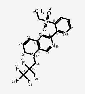 CCS(=O)(=O)c1cccnc1-c1cc2c(cn1)N(CC(F)(F)C(F)(F)F)CC=C2